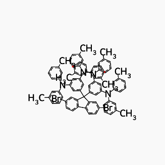 Cc1cccc(N(c2cccc(C)c2)c2cc(N(c3cccc(C)c3)c3cccc(C)c3)cc(C3(c4cc(N(c5cccc(C)c5)c5cccc(C)c5)cc(N(c5cccc(C)c5)c5cccc(C)c5)c4)c4cc(Br)ccc4-c4ccc(Br)cc43)c2)c1